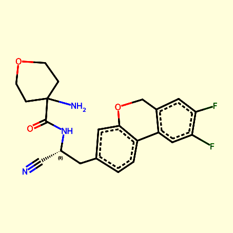 N#C[C@@H](Cc1ccc2c(c1)OCc1cc(F)c(F)cc1-2)NC(=O)C1(N)CCOCC1